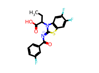 CCC(C(=O)O)n1/c(=N/C(=O)c2cccc(F)c2)sc2cc(F)c(F)cc21